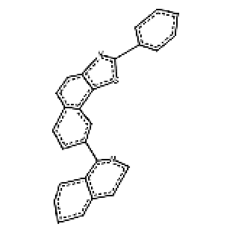 c1ccc(-c2nc3ccc4ccc(-c5nccc6ccccc56)cc4c3s2)cc1